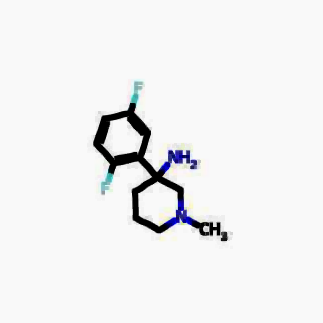 CN1CCCC(N)(c2cc(F)ccc2F)C1